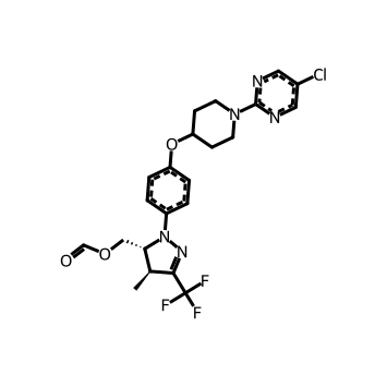 C[C@@H]1C(C(F)(F)F)=NN(c2ccc(OC3CCN(c4ncc(Cl)cn4)CC3)cc2)[C@H]1COC=O